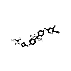 CC(C)(c1ccc(Oc2cnc(C#N)c(F)c2)cc1)c1ccc(O[C@H]2C[C@H](NC(=O)O)C2)cc1